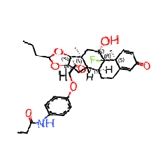 CCCC1O[C@@H]2C[C@H]3[C@@H]4CCC5=CC(=O)C=C[C@]5(C)[C@@]4(F)[C@@H](O)C[C@]3(C)[C@]2(C(=O)COc2ccc(NC(=O)CC)cc2)O1